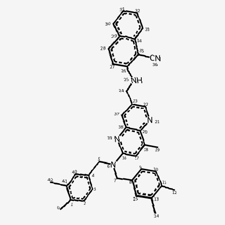 Cc1ccc(CN(Cc2ccc(C)c(C)c2)c2cc(C)c3ncc(CNc4ccc5ccccc5c4C#N)cc3n2)cc1C